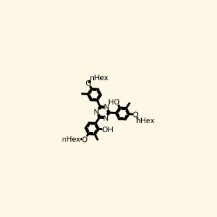 CCCCCCOc1ccc(-c2nc(-c3ccc(OCCCCCC)c(C)c3O)nc(-c3ccc(OCCCCCC)c(C)c3O)n2)cc1C